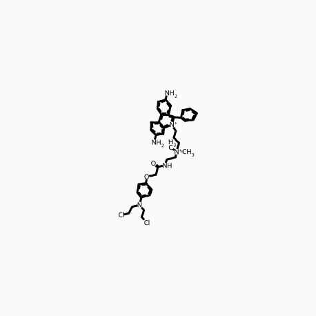 C[N+](C)(CCC[n+]1c(-c2ccccc2)c2cc(N)ccc2c2ccc(N)cc21)CCNC(=O)COc1ccc(N(CCCl)CCCl)cc1